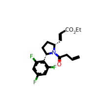 C=CCC(=O)N1[C@@H](/C=C/C(=O)OCC)CC[C@H]1c1c(F)cc(F)cc1F